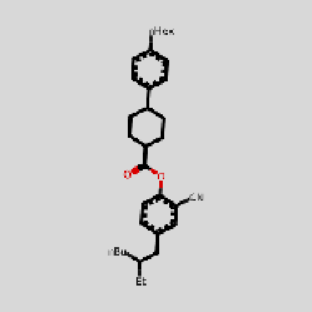 CCCCCCc1ccc(C2CCC(C(=O)Oc3ccc(CC(CC)CCCC)cc3C#N)CC2)cc1